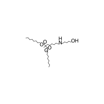 CCCCCCCCOC(=O)C(C)(CCCCCCNCCCCCO)C(=O)OCCCCCCCC